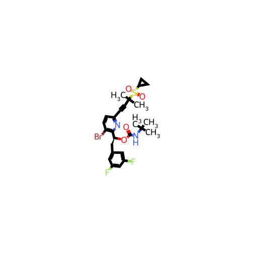 CC(C)(C)NC(=O)O[C@@H](Cc1cc(F)cc(F)c1)c1nc(C#CC(C)(C)S(=O)(=O)C2CC2)ccc1Br